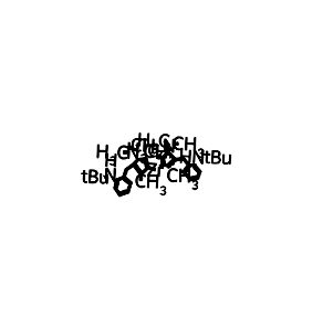 CC1=C(Cc2ccccc2NC(C)(C)C)C(N(C)C)C(C)=[C]1[Zr][C]1=C(C)C(N(C)C)C(Cc2ccccc2NC(C)(C)C)=C1C